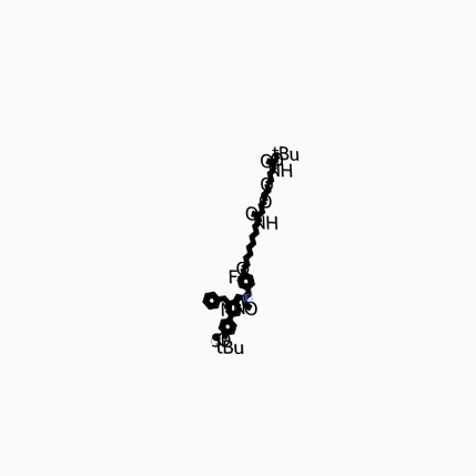 CC(C)(C)OC(=O)NCCOCCOCCC(=O)NCCCCCCCCOc1ccc(/C=C2\C=C3C(Cc4ccccc4)=NC(c4ccc(O[Si](C)(C)C(C)(C)C)cc4)=CN3C2=O)cc1F